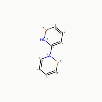 [C]1=CN(C2=CC=CSN2)SC=C1